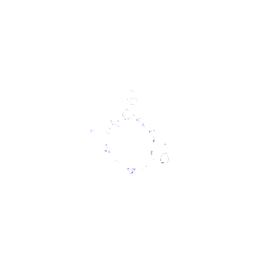 CNC(=O)C[C@@H]1NC(=O)c2csc(n2)-c2ccc(-c3nc(N(C)C(=O)CCCC(=O)O)cs3)nc2-c2csc(n2)-c2csc(n2)[C@H]([C@@H](O)c2ccccc2)NC(=O)CNC(=O)c2nc(sc2COC)[C@H](C(C)C)NC(=O)c2nc1sc2C